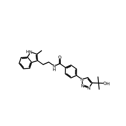 Cc1[nH]c2ccccc2c1CCNC(=O)c1ccc(-n2cc(C(C)(C)O)nn2)cc1